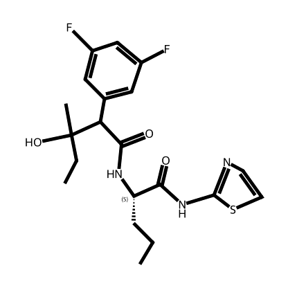 CCC[C@H](NC(=O)C(c1cc(F)cc(F)c1)C(C)(O)CC)C(=O)Nc1nccs1